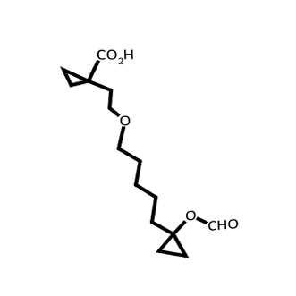 O=COC1(CCCCCOCCC2(C(=O)O)CC2)CC1